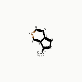 [CH2]Cc1ccc2ccscc1-2